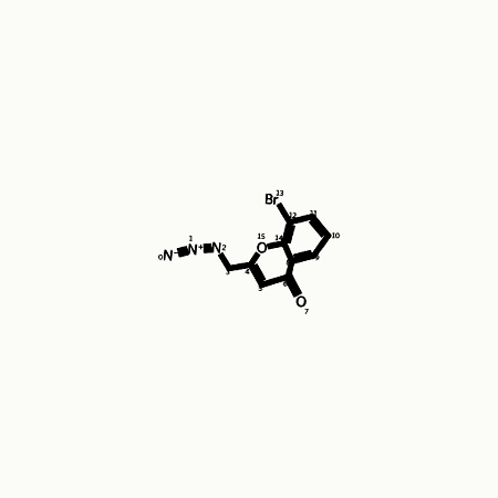 [N-]=[N+]=NCc1cc(=O)c2cccc(Br)c2o1